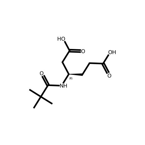 CC(C)(C)C(=O)N[C@H](CCC(=O)O)CC(=O)O